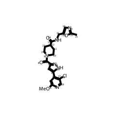 COc1cc(-c2cc(C(=O)N3CCC(C(=O)NCc4cnc(C)o4)CC3)n[nH]2)c(Cl)cn1